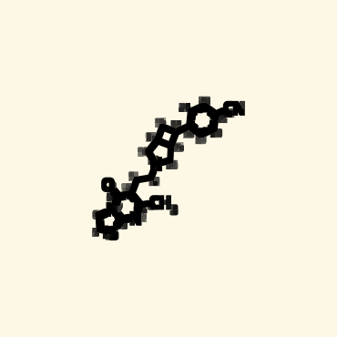 Cc1nc2sccn2c(=O)c1CCN1CC2CC(c3ccc(C#N)cc3)C2C1